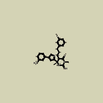 CN1C(=N)N[C@](C)(c2cc(-c3cccc(N)c3)cs2)C(CCCc2cccc(F)c2)C1=O